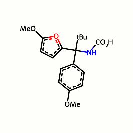 COc1ccc(C(NC(=O)O)(c2ccc(OC)o2)C(C)(C)C)cc1